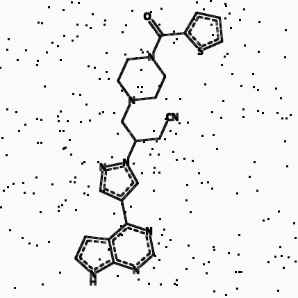 N#CCC(CN1CCN(C(=O)c2cccs2)CC1)n1cc(-c2ncnc3[nH]ccc23)cn1